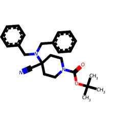 CC(C)(C)OC(=O)N1CCC(C#N)(N(Cc2ccccc2)Cc2ccccc2)CC1